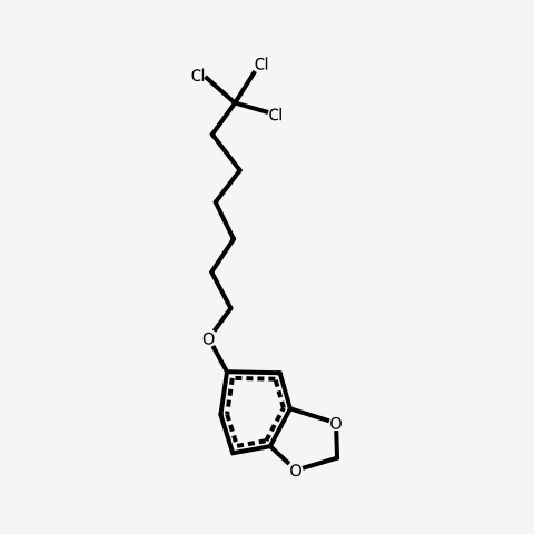 ClC(Cl)(Cl)CCCCCCOc1ccc2c(c1)OCO2